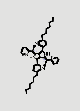 CCCCCCCc1ccc(-c2[nH]/c(=C(/C#N)c3ccccn3)c3c(-c4ccc(CCCCCCC)cc4)[nH]/c(=C(/C#N)c4ccccn4)c23)cc1